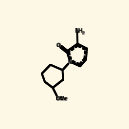 COC1CCCC(n2cccc(N)c2=O)C1